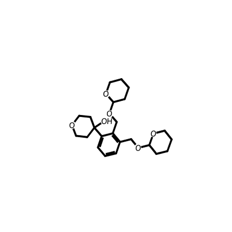 OC1(c2cccc(COC3CCCCO3)c2COC2CCCCO2)CCOCC1